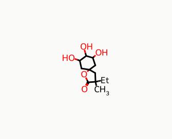 CCC1(C)CC2(CC(O)C(O)C(O)C2)OC1=O